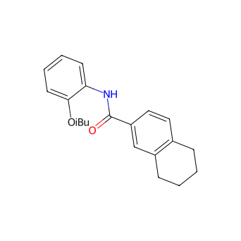 CC(C)COc1ccccc1NC(=O)c1ccc2c(c1)CCCC2